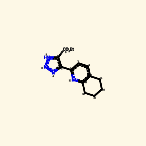 CCOC(=O)c1[nH]nnc1-c1ccc2c(n1)CCCC2